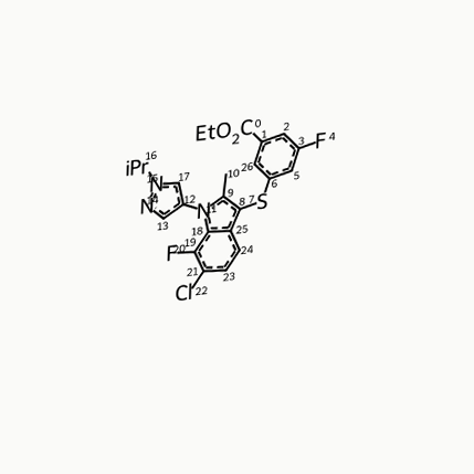 CCOC(=O)c1cc(F)cc(Sc2c(C)n(-c3cnn(C(C)C)c3)c3c(F)c(Cl)ccc23)c1